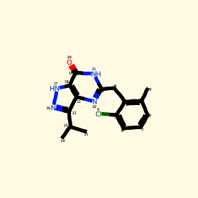 Cc1cccc(Cl)c1Cc1nc2c(C(C)C)n[nH]c2c(=O)[nH]1